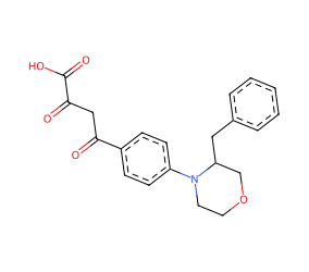 O=C(O)C(=O)CC(=O)c1ccc(N2CCOCC2Cc2ccccc2)cc1